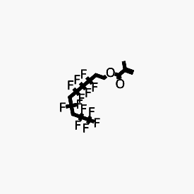 C=C(C)C(=O)OCCC(F)(F)C(F)(F)C(F)(F)CC(F)(F)CC(F)(F)C(F)(F)F